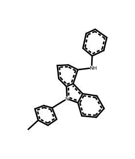 Cc1ccc(-n2c3ccccc3c3c(Nc4ccccc4)cccc32)cc1